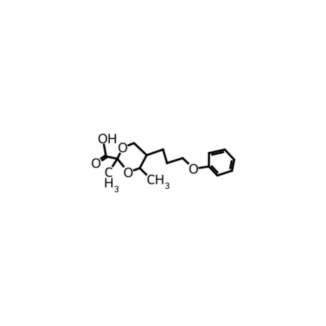 CC1OC(C)(C(=O)O)OCC1CCCOc1ccccc1